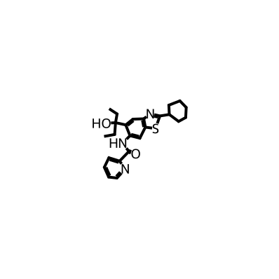 CCC(O)(CC)c1cc2nc(C3CCCCC3)sc2cc1NC(=O)c1ccccn1